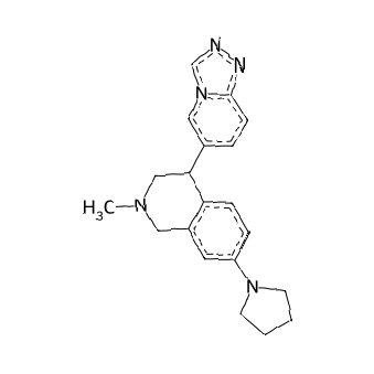 CN1Cc2cc(N3CCCC3)ccc2C(c2ccc3nncn3c2)C1